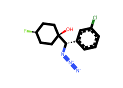 [N-]=[N+]=N[C@@H](c1cccc(Cl)c1)[C@]1(O)CC[C@@H](F)CC1